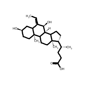 C/C=C1\C2C[C@H](O)CC[C@]2(C)C2CC[C@@]3(C)C(CC[C@@H]3[C@H](C)CCC(=O)O)[C@@H]2[C@@H]1O